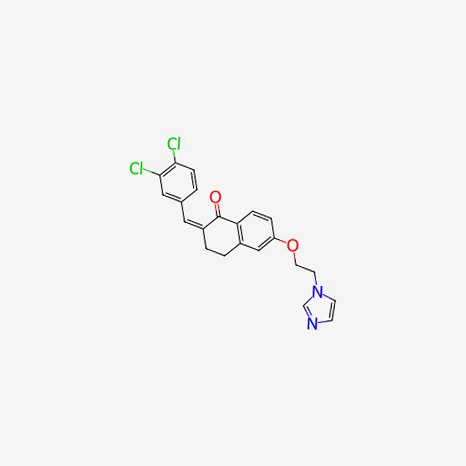 O=C1C(=Cc2ccc(Cl)c(Cl)c2)CCc2cc(OCCn3ccnc3)ccc21